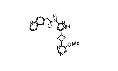 COc1cncnc1C1CC(c2cc(NC(=O)Cc3ccc4ncccc4c3)n[nH]2)C1